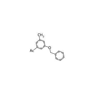 CC(=O)c1cc(C)cc(OCc2ccccc2)c1